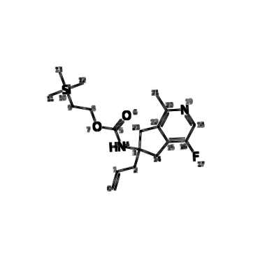 C=CCC1(NC(=O)OCC[Si](C)(C)C)Cc2c(F)cnc(C)c2C1